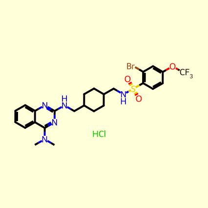 CN(C)c1nc(NCC2CCC(CNS(=O)(=O)c3ccc(OC(F)(F)F)cc3Br)CC2)nc2ccccc12.Cl